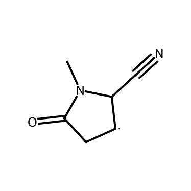 CN1C(=O)C[CH]C1C#N